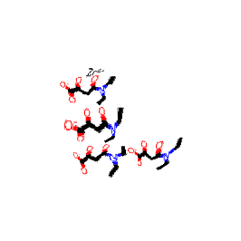 CCN(CC)C(=O)CC(=O)C(=O)[O-].CCN(CC)C(=O)CC(=O)C(=O)[O-].CCN(CC)C(=O)CC(=O)C(=O)[O-].CCN(CC)C(=O)CC(=O)C(=O)[O-].[Zr+4]